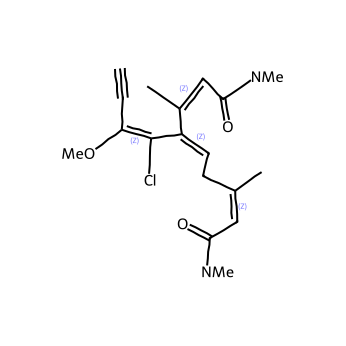 C#C\C(OC)=C(Cl)/C(=C\C/C(C)=C\C(=O)NC)C(/C)=C\C(=O)NC